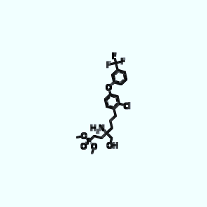 COP(=O)(CCC(N)(CO)CCCc1ccc(Oc2cccc(C(F)(F)F)c2)cc1Cl)OC